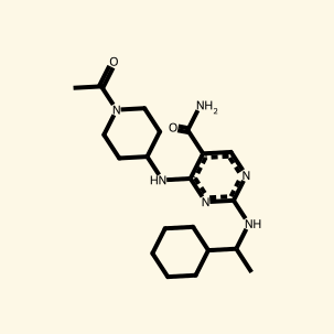 CC(=O)N1CCC(Nc2nc(NC(C)C3CCCCC3)ncc2C(N)=O)CC1